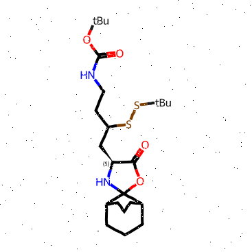 CC(C)(C)OC(=O)NCCC(C[C@@H]1NC2(OC1=O)C1CCCC2CCC1)SSC(C)(C)C